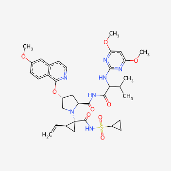 C=C[C@@H]1C[C@@]1(C(=O)NS(=O)(=O)C1CC1)N1C[C@H](Oc2nccc3cc(OC)ccc23)C[C@H]1C(=O)NC(=O)C(Nc1nc(OC)cc(OC)n1)C(C)C